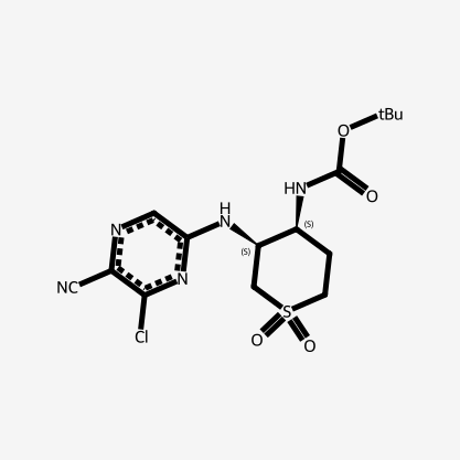 CC(C)(C)OC(=O)N[C@H]1CCS(=O)(=O)C[C@H]1Nc1cnc(C#N)c(Cl)n1